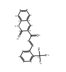 O=C(/C=C/c1ccccc1C(F)(F)F)c1cc2ccccc2oc1=O